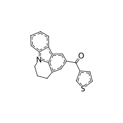 O=C(c1ccsc1)c1cc2c3c(c1)c1ccccc1n3CCC2